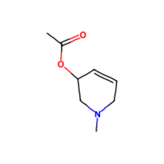 CC(=O)OC1C=CCN(C)C1